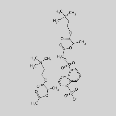 CC(=O)OC(C)C(=O)OCC[N+](C)(C)C.CC(=O)OC(C)C(=O)OCC[N+](C)(C)C.O=S(=O)([O-])c1cccc2c(S(=O)(=O)[O-])cccc12